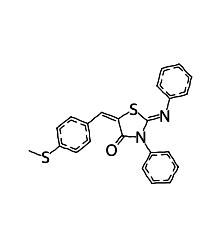 CSc1ccc(C=C2SC(=Nc3ccccc3)N(c3ccccc3)C2=O)cc1